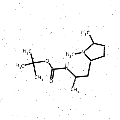 CC(CC1CCC(C)N1C)NC(=O)OC(C)(C)C